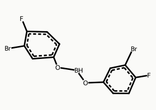 Fc1ccc(OBOc2ccc(F)c(Br)c2)cc1Br